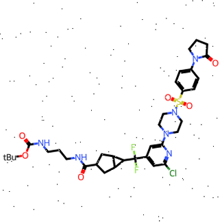 CC(C)(C)OC(=O)NCCCNC(=O)C1CC2C(C1)C2C(F)(F)c1cc(Cl)nc(N2CCN(S(=O)(=O)c3ccc(N4CCCC4=O)cc3)CC2)c1